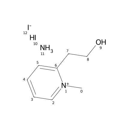 C[n+]1ccccc1CCO.I.N.[I-]